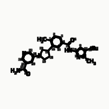 Cc1ccc(C(=O)Nc2cc(C(C)(C)C)n(C)n2)cc1C1CCN(c2cncc(C(N)=O)c2)C1